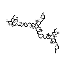 CCC(O)Cn1c(=O)n(CC(O)CN2CCNCC2)c(=O)n(CC(O)CN2CCN(CC(O)Cn3c(=O)n(CC(O)CN4CCN(C)CC4)c(=O)n(CC(O)CN4CCN(CC(O)COCC(C)CC(CC(CC)C(=O)O)C(N)=O)CC4)c3=O)CC2)c1=O